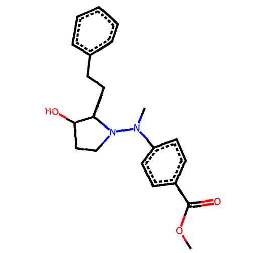 COC(=O)c1ccc(N(C)N2CCC(O)C2CCc2ccccc2)cc1